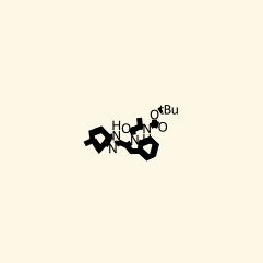 Cc1ccc2[nH]c(C3Cc4ccccc4N3C(=O)C(C)NC(=O)OC(C)(C)C)nc2c1